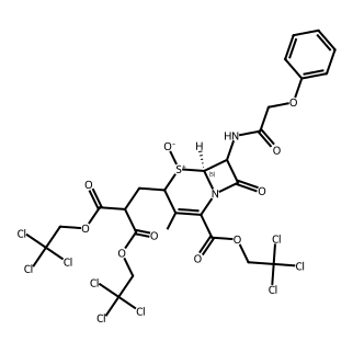 CC1=C(C(=O)OCC(Cl)(Cl)Cl)N2C(=O)C(NC(=O)COc3ccccc3)[C@@H]2[S+]([O-])C1CC(C(=O)OCC(Cl)(Cl)Cl)C(=O)OCC(Cl)(Cl)Cl